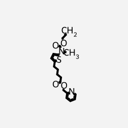 C=CCOC(=O)N(C)c1ccc(CCCCC(=O)OCc2ccccn2)s1